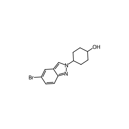 OC1CCC(n2cc3cc(Br)ccc3n2)CC1